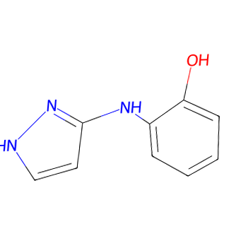 Oc1ccccc1Nc1cc[nH]n1